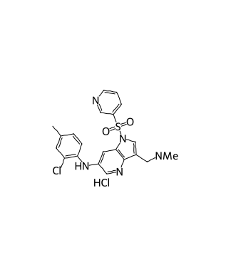 CNCc1cn(S(=O)(=O)c2cccnc2)c2cc(Nc3ccc(C)cc3Cl)cnc12.Cl